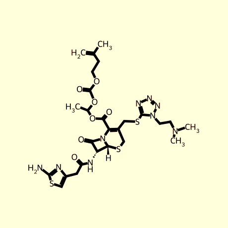 C=C(C)CCOC(=O)OC(C)OC(=O)C1=C(CSc2nnnn2CCN(C)C)CS[C@@H]2[C@H](NC(=O)Cc3csc(N)n3)C(=O)N12